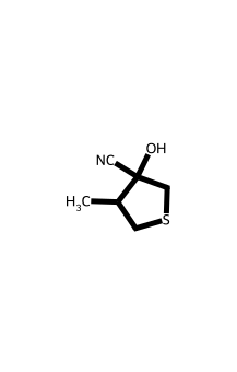 CC1CSCC1(O)C#N